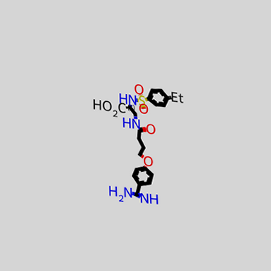 CCc1ccc(S(=O)(=O)N[C@@H](CNC(=O)CCCOc2ccc(C(=N)N)cc2)C(=O)O)cc1